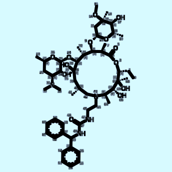 CC[C@H]1OC(=O)[C@H](C)[C@H](O[C@@H]2C[C@@](C)(OC)[C@@H](O)[C@H](C)O2)[C@@H](C)[C@H](O[C@@H]2O[C@H](C)C[C@H](N(C)C)[C@H]2O)[C@](C)(O)C[C@@H](C)CN(CCNC(=O)NC(c2ccccc2)c2ccccc2)[C@H](C)[C@@H](O)[C@]1(C)O